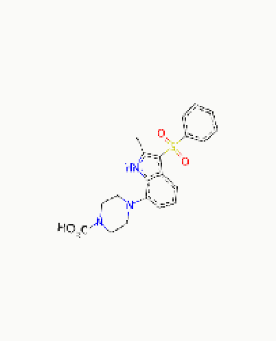 Cc1[nH]c2c(N3CCN(C(=O)O)CC3)cccc2c1S(=O)(=O)c1ccccc1